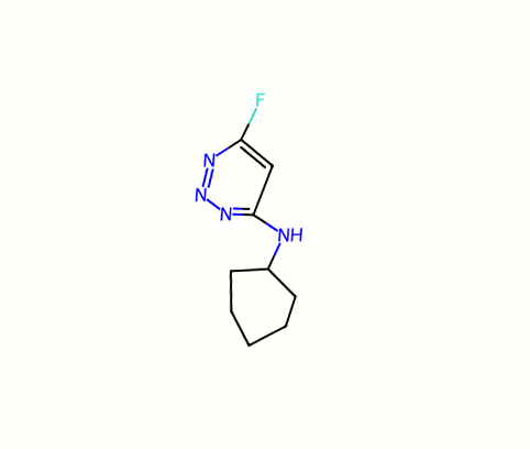 Fc1cc(NC2CCCCC2)nnn1